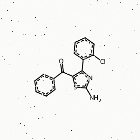 Nc1nc(-c2ccccc2Cl)c(C(=O)c2ccccc2)s1